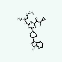 COC[C@@H](C)Oc1nc(C(=O)NC2CC2)nc(N2CCC(c3n[nH]c4ncccc34)CC2)n1